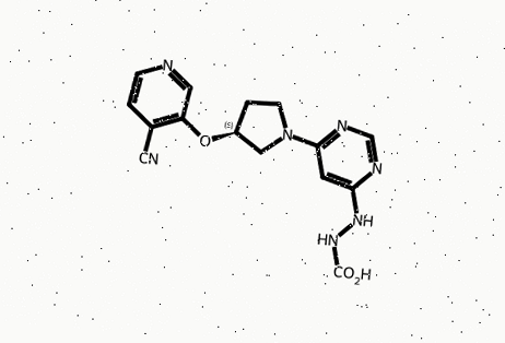 N#Cc1ccncc1O[C@H]1CCN(c2cc(NNC(=O)O)ncn2)C1